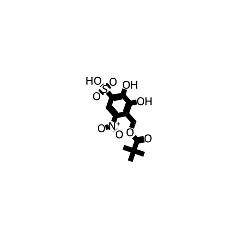 CC(C)(C)C(=O)OCc1c([N+](=O)[O-])cc(S(=O)(=O)O)c(O)c1O